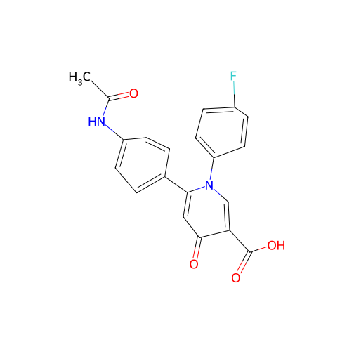 CC(=O)Nc1ccc(-c2cc(=O)c(C(=O)O)cn2-c2ccc(F)cc2)cc1